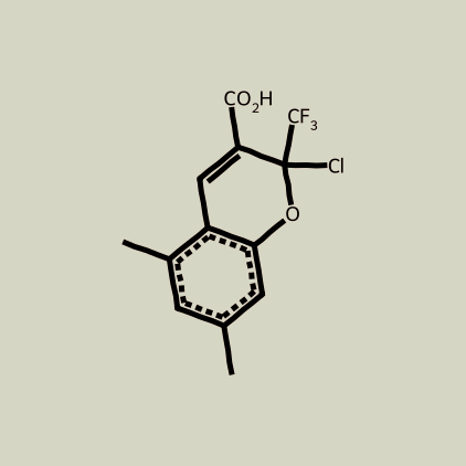 Cc1cc(C)c2c(c1)OC(Cl)(C(F)(F)F)C(C(=O)O)=C2